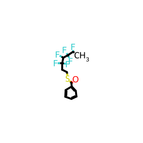 CC(F)C(F)(F)C(F)C(F)(F)CCSC(=O)c1ccccc1